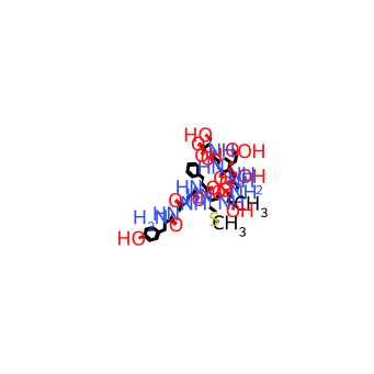 CSCC[C@H](NC(=O)[C@H](Cc1ccccc1)NC(=O)CNC(=O)CNC(=O)[C@@H](N)Cc1ccc(O)cc1)C(=O)N[C@H](C(=O)N[C@@H](CO)C(=O)N[C@@H](CCC(=O)O)C(=O)N[C@@H](CCCCN)C(=O)N[C@@H](CO)C(=O)O)[C@@H](C)O